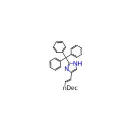 CCCCCCCCCCC=Cc1c[nH]c(C(c2ccccc2)(c2ccccc2)c2ccccc2)n1